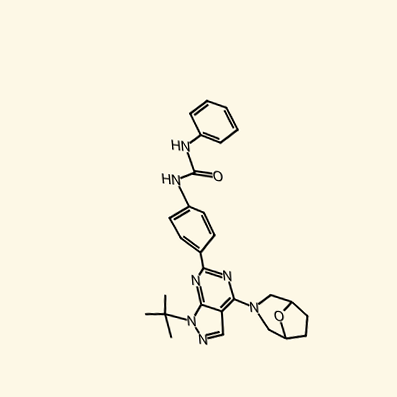 CC(C)(C)n1ncc2c(N3CC4CCC(C3)O4)nc(-c3ccc(NC(=O)Nc4ccccc4)cc3)nc21